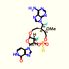 CO[C@@H]1COP(=O)(S)O[C@H]2[C@H](n3cnc4c(=O)[nH]ccc43)OC(OCC[C@H]1[C@H](F)n1cnc3c(N)ncnc31)[C@@H]2F